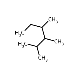 C[CH]C(C)C(C)C(C)C